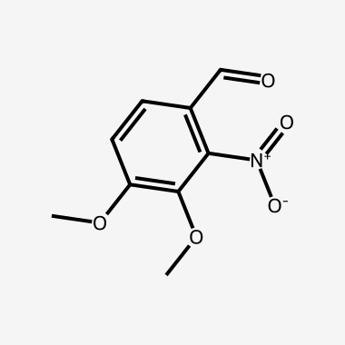 COc1ccc(C=O)c([N+](=O)[O-])c1OC